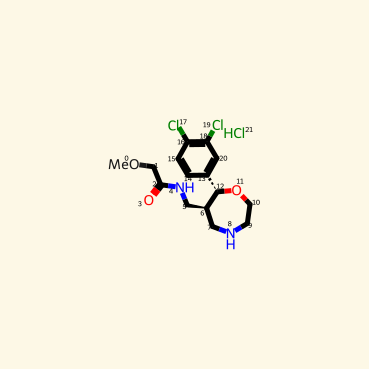 COCC(=O)NC[C@@H]1CNCCO[C@H]1c1ccc(Cl)c(Cl)c1.Cl